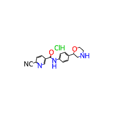 Cl.N#Cc1ccc(C(=O)Nc2ccc(C3CNCCO3)cc2)cn1